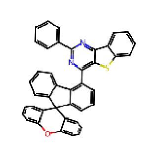 c1ccc(-c2nc(-c3cccc4c3-c3ccccc3C43c4ccccc4Oc4ccccc43)c3sc4ccccc4c3n2)cc1